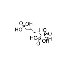 O=P(O)(O)C=CCCC(P(=O)(O)O)P(=O)(O)O